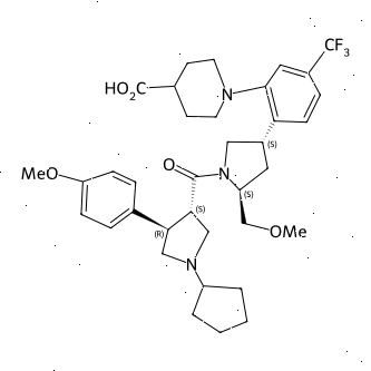 COC[C@@H]1C[C@@H](c2ccc(C(F)(F)F)cc2N2CCC(C(=O)O)CC2)CN1C(=O)[C@@H]1CN(C2CCCC2)C[C@H]1c1ccc(OC)cc1